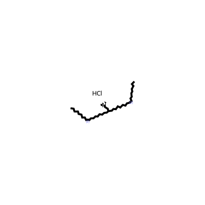 CCCCCCCC/C=C\CCCCCCCCC(CCCCCCCC/C=C\CCCCCCCC)CCN(C)C.Cl